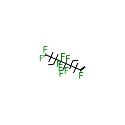 C=C(F)C(C)(C)C(C)(CC)C(F)(C(F)(F)F)C(F)(F)C(C)(CC)C(C)(C)C(F)F